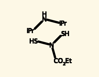 CC(C)NC(C)C.CCOC(=O)N(S)S